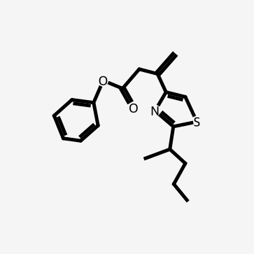 C=C(CC(=O)Oc1ccccc1)c1csc(C(C)CCC)n1